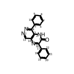 O=c1[nH]c2c(-c3ccccc3)nncc2nc1-c1ccccc1